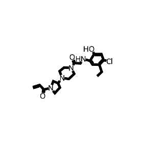 C=CC(=O)N1CCC(N2CCN(C(=O)CNc3cc(CC)c(Cl)cc3O)CC2)C1